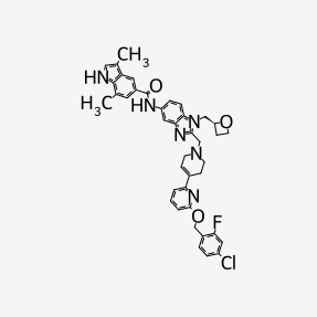 Cc1c[nH]c2c(C)cc(C(=O)Nc3ccc4c(c3)nc(CN3CC=C(c5cccc(OCc6ccc(Cl)cc6F)n5)CC3)n4C[C@@H]3CCO3)cc12